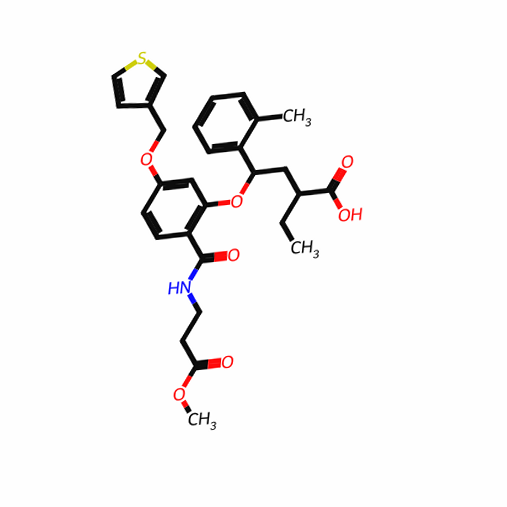 CCC(CC(Oc1cc(OCc2ccsc2)ccc1C(=O)NCCC(=O)OC)c1ccccc1C)C(=O)O